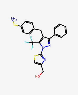 NSc1ccc(Cc2c(-c3ccccc3)nn(-c3nc(CO)cs3)c2C(F)(F)F)cc1